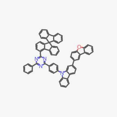 c1ccc(-c2nc(-c3ccc(-n4c5ccccc5c5ccc(-c6ccc7oc8ccccc8c7c6)cc54)cc3)nc(-c3cccc4c3-c3ccccc3C43c4ccccc4-c4ccccc43)n2)cc1